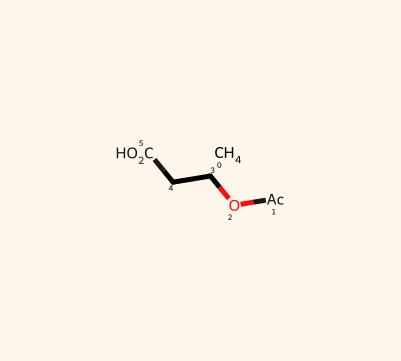 C.CC(=O)OCCC(=O)O